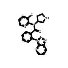 O=C(c1ccccc1-n1nnc2cccnc21)N(c1ncccc1Cl)C1CCNC1